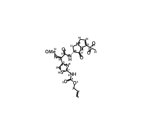 C=CCOC(=O)Nc1nc(/C(=N/OC)C(=O)N[C@@H]2CN3CC=C(S(C)(=O)=O)N3C2=O)cs1